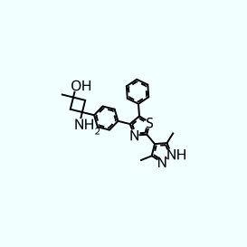 Cc1n[nH]c(C)c1-c1nc(-c2ccc(C3(N)CC(C)(O)C3)cc2)c(-c2ccccc2)s1